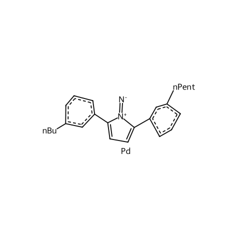 CCCCCc1cccc(C2=CC=C(c3cccc(CCCC)c3)[N+]2=[N-])c1.[Pd]